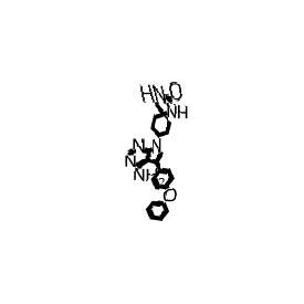 Nc1ncnc2c1c(-c1ccc(Oc3ccccc3)cc1)cn2[C@H]1CC[C@@]2(CC1)CNC(=O)N2